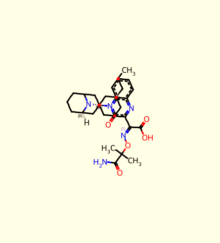 CCC[C@H]1CCC[C@H](N2C3CCC[C@@H]2C[C@H](n2c(=O)c(/C(=N/OC(C)(C)C(N)=O)C(=O)O)nc4ccccc42)C3)C1